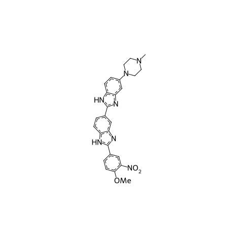 COc1ccc(-c2nc3cc(-c4nc5cc(N6CCN(C)CC6)ccc5[nH]4)ccc3[nH]2)cc1[N+](=O)[O-]